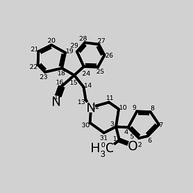 CC(=O)C1(c2ccccc2)CCN(CCC(C#N)(c2ccccc2)c2ccccc2)CC1